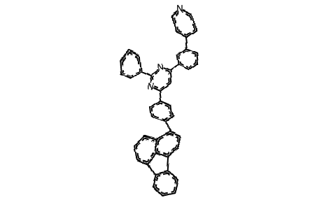 c1ccc(-c2nc(-c3ccc(-c4ccc5c6c(cccc46)-c4ccccc4-5)cc3)cc(-c3cccc(-c4ccncc4)c3)n2)cc1